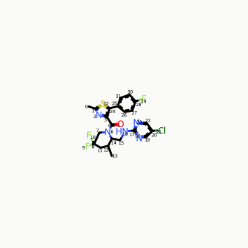 Cc1nc(C(=O)N2CC(F)(F)CC(C)C2CNc2ncc(Cl)cn2)c(-c2ccc(F)cc2)s1